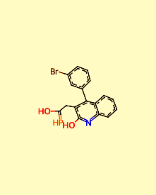 OC(=P)Cc1c(O)nc2ccccc2c1-c1cccc(Br)c1